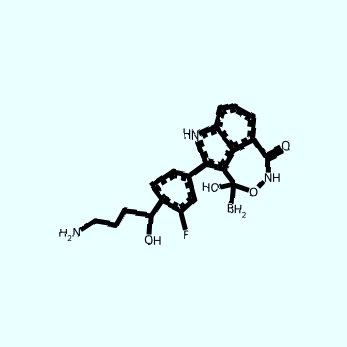 BC1(O)ONC(=O)c2cccc3[nH]c(-c4ccc(C(O)CCCN)c(F)c4)c1c23